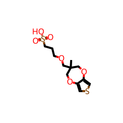 CC1(COCCCS(=O)(=O)O)COc2cscc2OC1